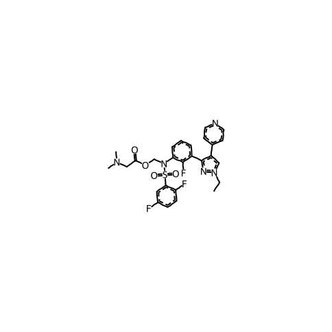 CCn1cc(-c2ccncc2)c(-c2cccc(N(COC(=O)CN(C)C)S(=O)(=O)c3cc(F)ccc3F)c2F)n1